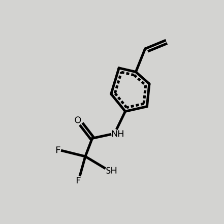 C=Cc1ccc(NC(=O)C(F)(F)S)cc1